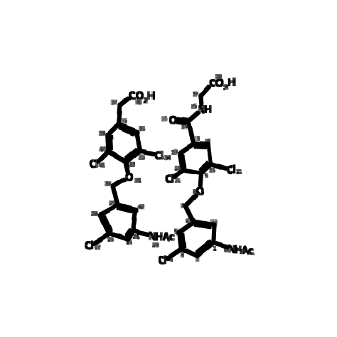 CC(=O)Nc1cc(Cl)cc(COc2c(Cl)cc(C(=O)NCC(=O)O)cc2Cl)c1.CC(=O)Nc1cc(Cl)cc(COc2c(Cl)cc(CC(=O)O)cc2Cl)c1